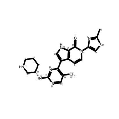 Cc1nc(-n2ccc3c(-c4nc(N[C@H]5CCCNC5)ncc4C(F)(F)F)c[nH]c3c2=O)cs1